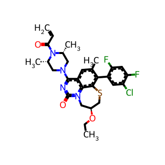 C=CC(=O)N1[C@H](C)CN(c2nc(=O)n3c4c(c(-c5cc(Cl)c(F)cc5F)c(C)cc24)SC[C@@H](OCC)C3)C[C@@H]1C